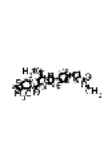 CCOC(=O)[C@H]1CCN(c2ccc(-c3cc4nc(C(=O)N5CCc6sccc6[C@H]5C)cc(CC)n4n3)c(F)c2)C1